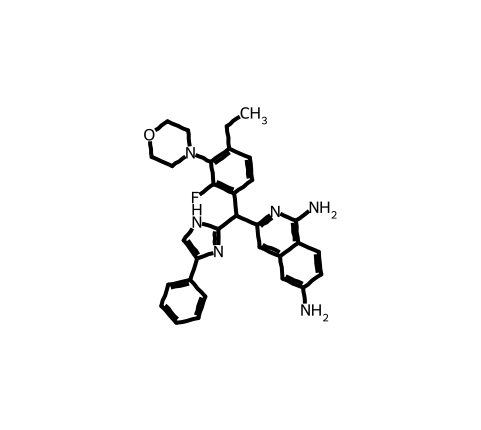 CCc1ccc(C(c2cc3cc(N)ccc3c(N)n2)c2nc(-c3ccccc3)c[nH]2)c(F)c1N1CCOCC1